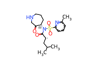 Cc1cccc(S(=O)(=O)N(C(=O)[CH]CC(C)C)[C@H]2CCCNCC2=O)n1